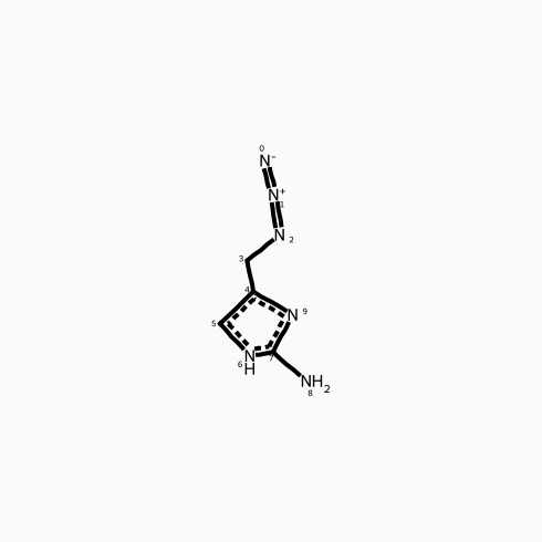 [N-]=[N+]=NCc1c[nH]c(N)n1